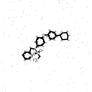 O=S(=O)(CC(F)(F)F)N(Cc1ccccn1)c1ccc(Oc2ccc(C3CCCCC3)cc2)cc1